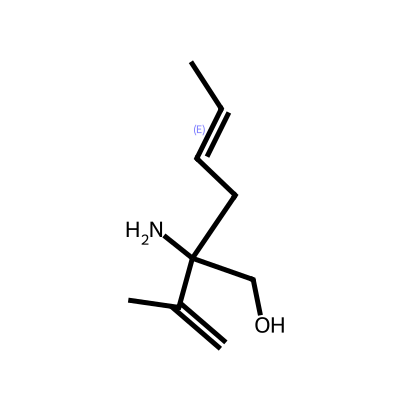 C=C(C)C(N)(CO)C/C=C/C